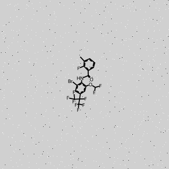 Cc1cccc(C(=O)Nc2c(Br)cc(C(F)(C(F)(F)F)C(F)(F)F)cc2OC(F)F)c1F